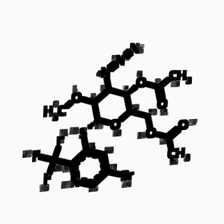 COC1C(N=[N+]=[N-])[C@@H](OC(C)=O)C(COC(C)=O)O[C@@H]1Sc1cc(Br)cnc1C(F)(F)F